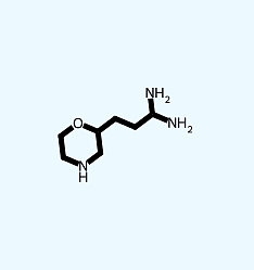 NC(N)CCC1CNCCO1